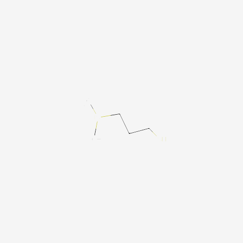 [CH2][SH](C)CCCS